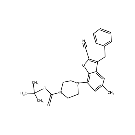 Cc1cc(N2CCN(C(=O)OC(C)(C)C)CC2)c2oc(C#N)c(Cc3ccccc3)c2c1